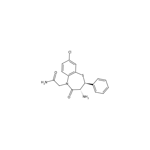 NC(=O)CN1C(=O)[C@@H](N)[C@H](c2ccccc2)Sc2cc(Cl)ccc21